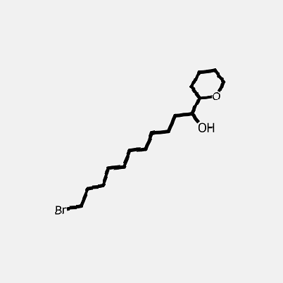 OC(CCCCCCCCCCBr)C1CCCCO1